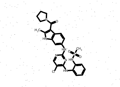 Cc1[nH]c2cc(Nc3ncc(Cl)c(Nc4ccccc4NS(C)(=O)=O)n3)ccc2c1C(=O)N1CCCC1